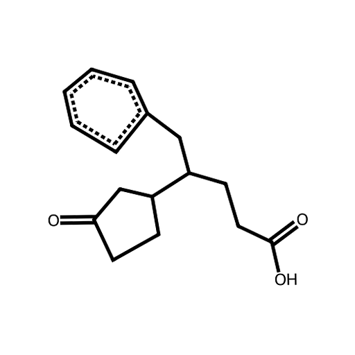 O=C(O)CCC(Cc1ccccc1)C1CCC(=O)C1